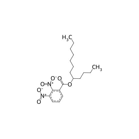 CCCCCCCC(CCCC)OC(=O)c1cccc([N+](=O)[O-])c1[N+](=O)[O-]